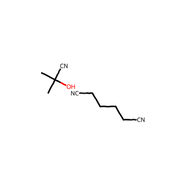 CC(C)(O)C#N.N#CCCCCC#N